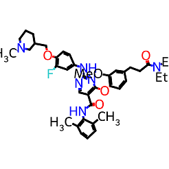 CCN(CC)C(=O)CCc1ccc(Oc2nc(Nc3ccc(OCC4CCCN(C)C4)c(F)c3)ncc2C(=O)Nc2c(C)cccc2C)c(OC)c1